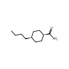 CCCC[C@H]1CC[C@@H](C(N)=O)CC1